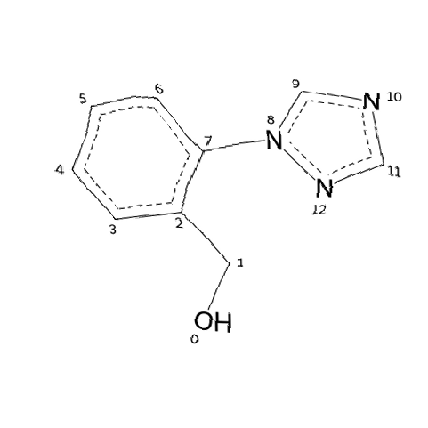 OCc1ccccc1-n1cncn1